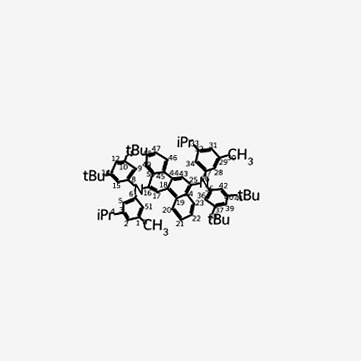 Cc1cc(C(C)C)cc(N(c2cc(C(C)(C)C)cc(C(C)(C)C)c2)c2cc3c4ccccc4c(N(c4cc(C)cc(C(C)C)c4)c4cc(C(C)(C)C)cc(C(C)(C)C)c4)cc3c3ccccc23)c1